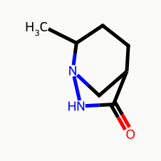 CC1CCC2CN1NC2=O